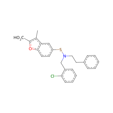 Cc1c(C(=O)O)oc2ccc(SN(CCc3ccccc3)Cc3ccccc3Cl)cc12